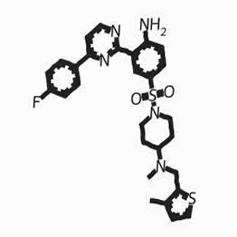 Cc1ccsc1CN(C)C1CCN(S(=O)(=O)c2ccc(N)c(-c3nccc(-c4ccc(F)cc4)n3)c2)CC1